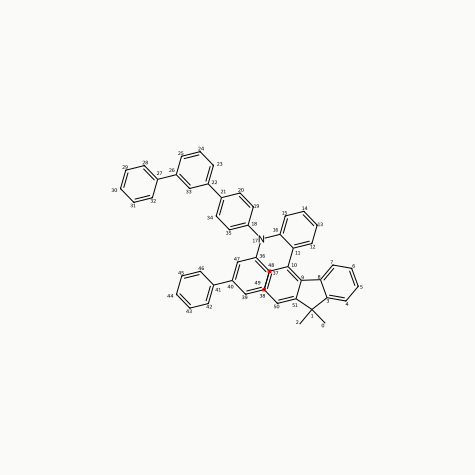 CC1(C)c2ccccc2-c2c(-c3ccccc3N(c3ccc(-c4cccc(-c5ccccc5)c4)cc3)c3cccc(-c4ccccc4)c3)cccc21